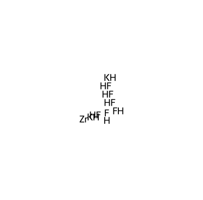 F.F.F.F.F.F.[KH].[KH].[Zr]